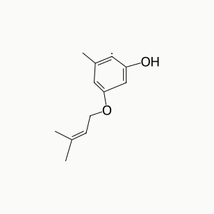 CC(C)=CCOc1cc(C)[c]c(O)c1